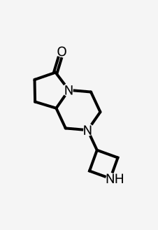 O=C1CCC2CN(C3CNC3)CCN12